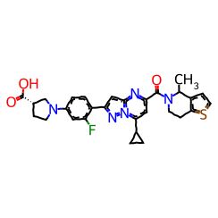 CC1c2ccsc2CCN1C(=O)c1cc(C2CC2)n2nc(-c3ccc(N4CC[C@H](C(=O)O)C4)cc3F)cc2n1